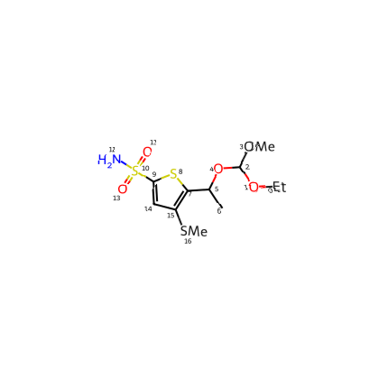 CCOC(OC)OC(C)c1sc(S(N)(=O)=O)cc1SC